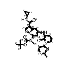 Cc1nccc(-n2cccc(Nc3cc(N(C)C(=O)OC(C)(C)C)n4ncc(C(=O)NC5CC5)c4c3)c2=O)n1